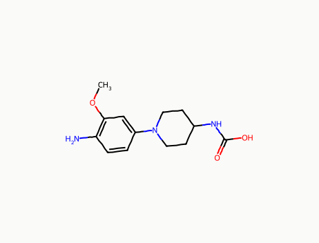 COc1cc(N2CCC(NC(=O)O)CC2)ccc1N